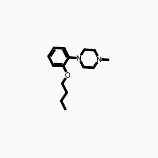 CCCCOc1ccccc1N1CCN(C)CC1